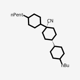 CCCCCC1CCC([C@]2(C#N)CC[C@@H](C3CCC(CCCC)CC3)CC2)CC1